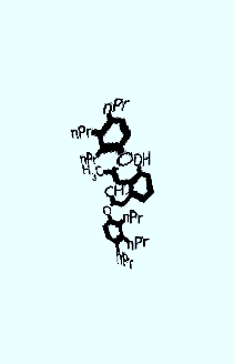 CCCc1ccc(OC(C)Cc2cccc(O)c2CC(C)Oc2ccc(CCC)c(CCC)c2CCC)c(CCC)c1CCC